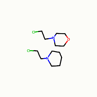 ClCCN1CCCCC1.ClCCN1CCOCC1